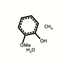 C.COc1ccccc1O.O